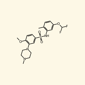 COc1ccc(S(=O)(=O)Nc2cc(OC(F)F)ccc2C)cc1N1CCN(C)CC1